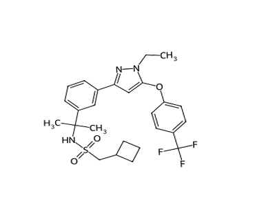 CCn1nc(-c2cccc(C(C)(C)NS(=O)(=O)CC3CCC3)c2)cc1Oc1ccc(C(F)(F)F)cc1